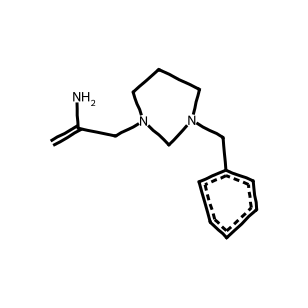 C=C(N)CN1CCCN(Cc2ccccc2)C1